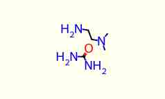 CN(C)CCN.NC(N)=O